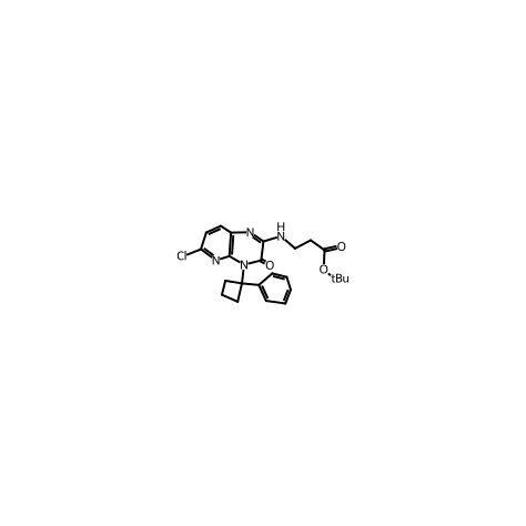 CC(C)(C)OC(=O)CCNc1nc2ccc(Cl)nc2n(C2(c3ccccc3)CCC2)c1=O